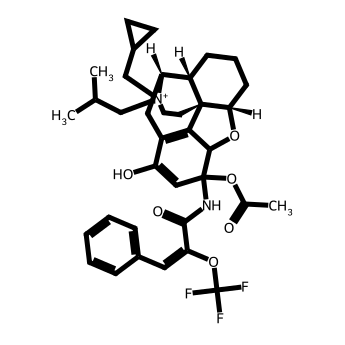 CC(=O)OC1(NC(=O)C(=Cc2ccccc2)OC(F)(F)F)C=C(O)C2=C3C1O[C@H]1CCC[C@H]4[C@@H](C2)[N+](CC(C)C)(CC2CC2)CC[C@]314